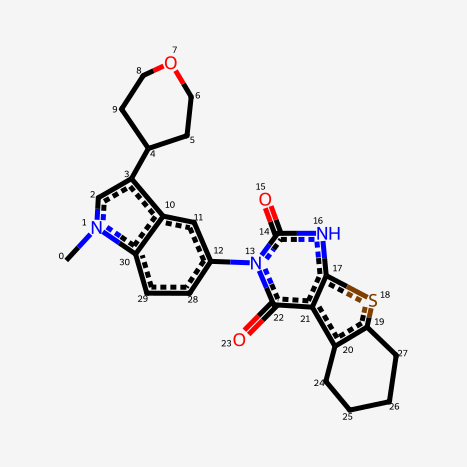 Cn1cc(C2CCOCC2)c2cc(-n3c(=O)[nH]c4sc5c(c4c3=O)CCCC5)ccc21